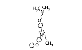 CCCCc1nc(-c2ccc(OCCCN(CC)CC)cc2)nn1-c1ccc(Oc2ccccc2)cc1